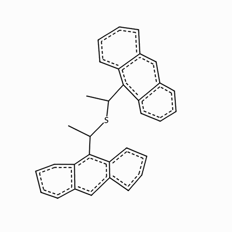 CC(SC(C)c1c2ccccc2cc2ccccc12)c1c2ccccc2cc2ccccc12